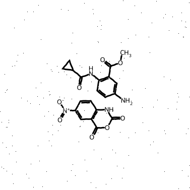 COC(=O)c1cc(N)ccc1NC(=O)C1CC1.O=c1[nH]c2ccc([N+](=O)[O-])cc2c(=O)o1